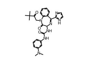 CN(C)c1cccc(NC(=O)NC2N=C(c3ncc[nH]3)c3ccccc3N(CC(=O)C(C)(C)C)C2=O)c1